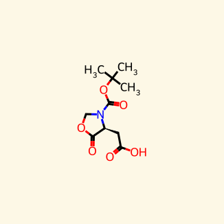 CC(C)(C)OC(=O)N1COC(=O)[C@@H]1CC(=O)O